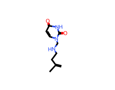 C=C(C)CCNCn1ccc(=O)[nH]c1=O